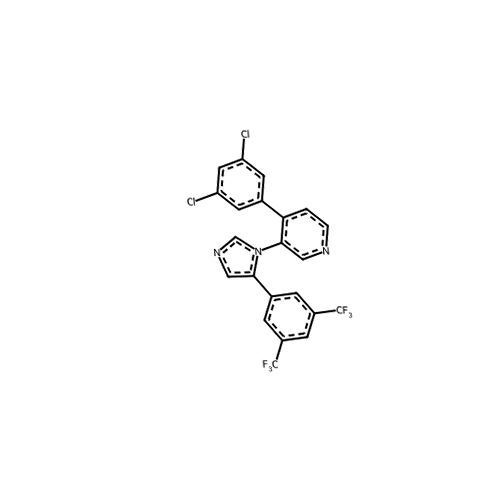 FC(F)(F)c1cc(-c2cncn2-c2cnccc2-c2cc(Cl)cc(Cl)c2)cc(C(F)(F)F)c1